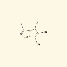 Cc1nnc2n1C(Cl)C(C#N)=C2C#N